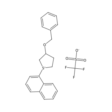 O=S(=O)([O-])C(F)(F)F.c1ccc(COC2CC[S+](c3cccc4ccccc34)C2)cc1